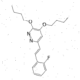 CCCCOc1cc(/C=C/c2ccccc2F)nnc1OCCCC